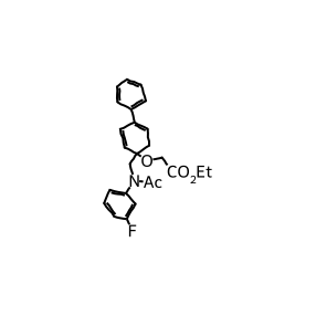 CCOC(=O)COC1(CN(C(C)=O)c2cccc(F)c2)C=CC(c2ccccc2)=CC1